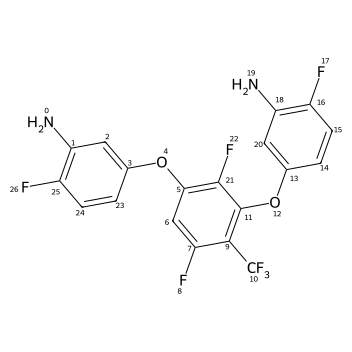 Nc1cc(Oc2cc(F)c(C(F)(F)F)c(Oc3ccc(F)c(N)c3)c2F)ccc1F